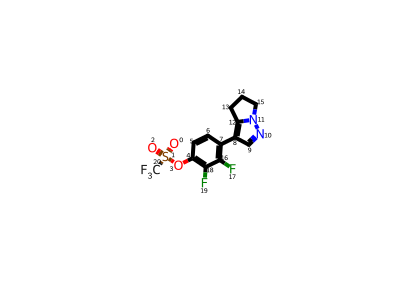 O=S(=O)(Oc1ccc(-c2cnn3c2CCC3)c(F)c1F)C(F)(F)F